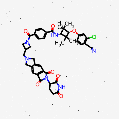 CC1(C)[C@H](NC(=O)c2ccc(C(=O)N3CC(CN4Cc5cc6c(cc5C4)C(=O)N(C4CCC(=O)NC4=O)C6=O)C3)cc2)C(C)(C)[C@H]1Oc1ccc(C#N)c(Cl)c1